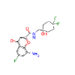 Nc1cc(F)cc2c(=O)cc(C(=O)NCC3(O)CCC(F)(F)CC3)oc12